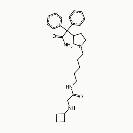 NC(=O)C(c1ccccc1)(c1ccccc1)C1CCN(CCCCCNC(=O)CNC2CCC2)C1